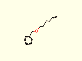 C=CCCCCOCc1ccccc1